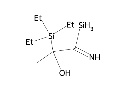 CC[Si](CC)(CC)C(C)(O)C(=N)[SiH3]